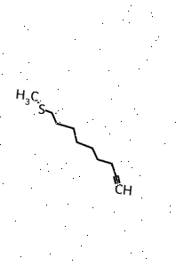 C#CCCCCCC[CH]SC